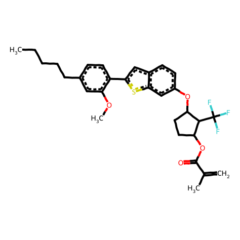 C=C(C)C(=O)OC1CCC(Oc2ccc3cc(-c4ccc(CCCCC)cc4OC)sc3c2)C1C(F)(F)F